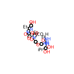 CCNC(=O)c1nnc(-c2cc(C(C)C)c(O)cc2O)n1-c1ccc(Oc2ccc(C(=O)N3CCC(CC)(OC(=O)O)C(=O)C3C3COCc4c3cc3n(c4=O)Cc4c-3nc3ccc(O)cc3c4CC)cc2)cc1